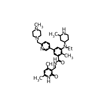 CCN(c1cc(-c2ccc(CN3CCN(C)CC3)nc2)cc(C(=O)NCc2c(C)cc(C)[nH]c2=O)c1C)C1CCNC(C)C1